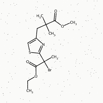 CCOC(=O)C(C)(Br)c1nc(CC(C)(C)C(=O)OC)cs1